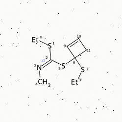 CCS/C(=N/C)SC1(SCC)C=CC1